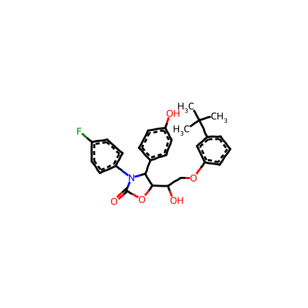 CC(C)(C)c1cccc(OCC(O)C2OC(=O)N(c3ccc(F)cc3)C2c2ccc(O)cc2)c1